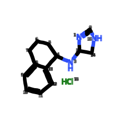 C1=NC(NC2CCCc3ccccc32)CN1.Cl